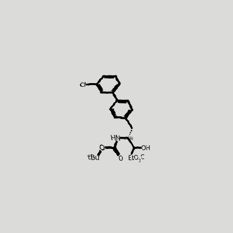 CCOC(=O)C(O)[C@@H](Cc1ccc(-c2cccc(Cl)c2)cc1)NC(=O)OC(C)(C)C